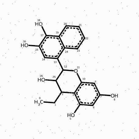 CCC1c2c(O)cc(O)cc2OC(c2cc(O)c(O)c3ccccc23)C1O